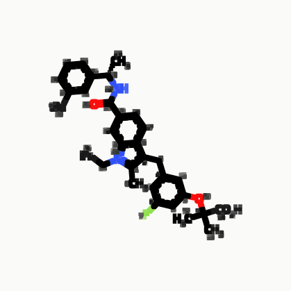 Cc1c(Cc2cc(F)cc(OC(C)(C)C(=O)O)c2)c2ccc(C(=O)N[C@@H](C)c3cccc(C(C)(C)C)c3)cc2n1CC(C)C